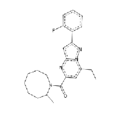 CCc1cc(C(=O)N2CCCCCCC2C)nc2cc(-c3ccccc3F)nn12